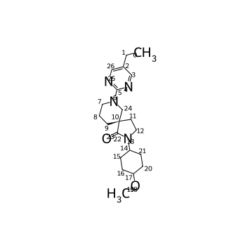 CCc1cnc(N2CCC[C@]3(CCN(C4CCC(OC)CC4)C3=O)C2)nc1